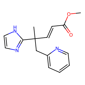 COC(=O)C=CC(C)(Cc1ccccn1)c1ncc[nH]1